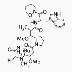 CC[C@H](C)[C@@H]([C@@H](CC(=O)N1CCC[C@H]1[C@H](OC)[C@@H](C)C(=O)N[C@@H](Cc1c[nH]c2ccccc12)C(=O)N1CCCCO1)OC)N(C)[C@H](C(N)=O)C(C)C